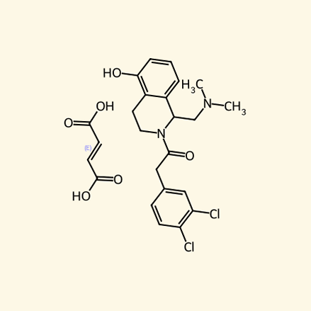 CN(C)CC1c2cccc(O)c2CCN1C(=O)Cc1ccc(Cl)c(Cl)c1.O=C(O)/C=C/C(=O)O